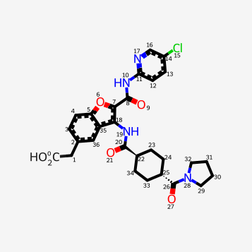 O=C(O)Cc1ccc2oc(C(=O)Nc3ccc(Cl)cn3)c(NC(=O)[C@H]3CC[C@H](C(=O)N4CCCC4)CC3)c2c1